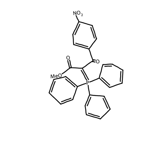 COC(=O)C(C(=O)c1ccc([N+](=O)[O-])cc1)=P(c1ccccc1)(c1ccccc1)c1ccccc1